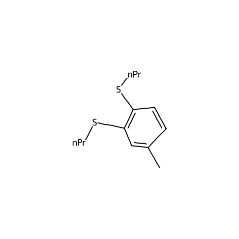 CCCSc1ccc(C)cc1SCCC